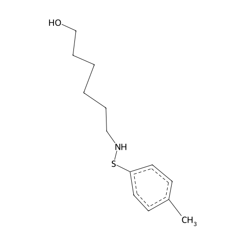 Cc1ccc(SNCCCCCCO)cc1